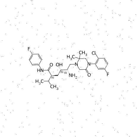 CC(C)[C@H](C[C@H](O)[C@@H](N)CN1CC(=O)N(c2cc(F)ccc2Cl)CC1(C)C)C(=O)Nc1ccc(F)cc1